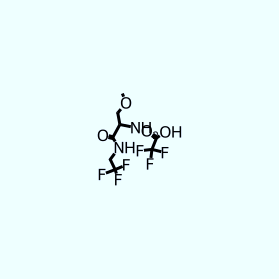 COCC(N)C(=O)NCC(F)(F)F.O=C(O)C(F)(F)F